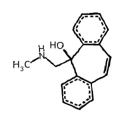 CNCC1(O)c2ccccc2C=Cc2ccccc21